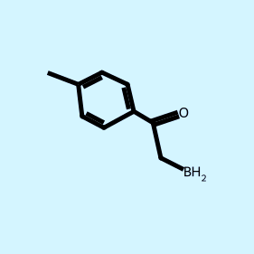 BCC(=O)c1ccc(C)cc1